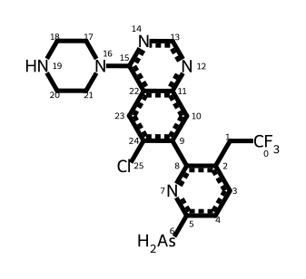 FC(F)(F)Cc1ccc([AsH2])nc1-c1cc2ncnc(N3CCNCC3)c2cc1Cl